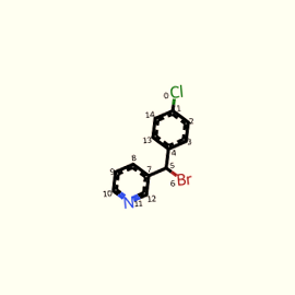 Clc1ccc(C(Br)c2cccnc2)cc1